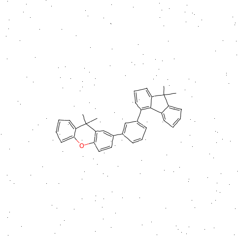 CC1(C)c2ccccc2Oc2ccc(-c3cccc(-c4cccc5c4-c4ccccc4C5(C)C)c3)cc21